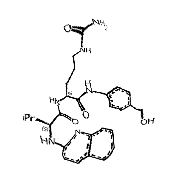 CC(C)[C@H](Nc1ccc2ccccc2n1)C(=O)N[C@@H](CCCNC(N)=O)C(=O)Nc1ccc(CO)cc1